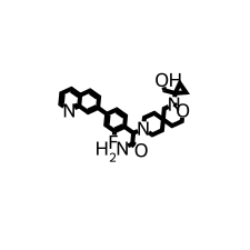 NC(=O)C(c1ccc(-c2ccc3cccnc3c2)cc1F)N1CCC2(CCON(C3(CO)CC3)C2)CC1